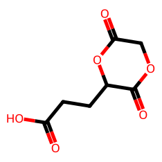 O=C(O)CCC1OC(=O)COC1=O